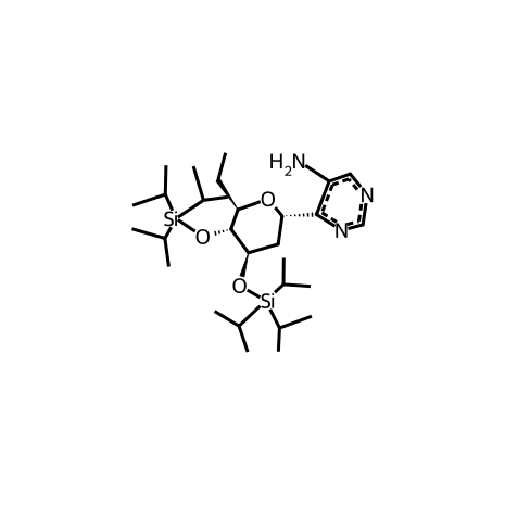 CC[C@H]1O[C@H](c2ncncc2N)C[C@@H](O[Si](C(C)C)(C(C)C)C(C)C)[C@@H]1O[Si](C(C)C)(C(C)C)C(C)C